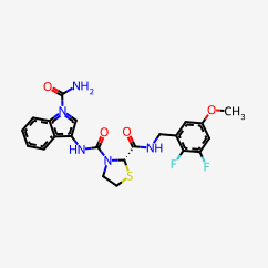 COc1cc(F)c(F)c(CNC(=O)[C@@H]2SCCN2C(=O)Nc2cn(C(N)=O)c3ccccc23)c1